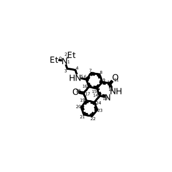 CCN(CC)CCNc1ccc2c(=O)[nH]nc3c2c1C(=O)c1ccccc1-3